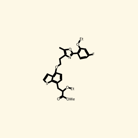 CCOc1cc(F)ccc1-c1nc(CCOc2ccc(CC(OCC)C(=O)OC)c3sccc23)c(C)o1